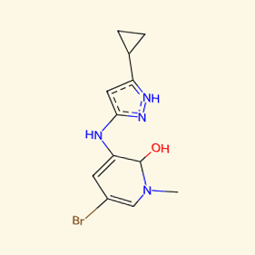 CN1C=C(Br)C=C(Nc2cc(C3CC3)[nH]n2)C1O